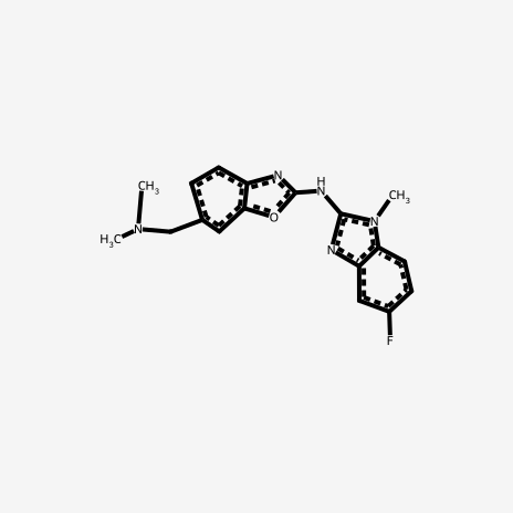 CN(C)Cc1ccc2nc(Nc3nc4cc(F)ccc4n3C)oc2c1